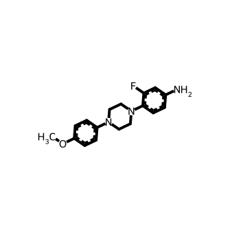 COc1ccc(N2CCN(c3ccc(N)cc3F)CC2)cc1